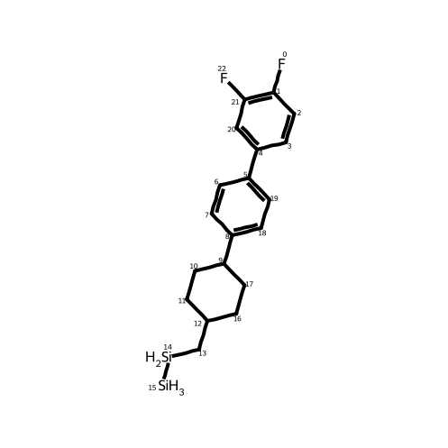 Fc1ccc(-c2ccc(C3CCC(C[SiH2][SiH3])CC3)cc2)cc1F